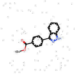 CC(C)(C)OC(=O)c1ccc(-c2n[nH]c3ccccc23)cc1